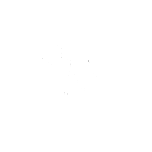 Clc1c[c]cc(Cl)c1OCc1ccccc1